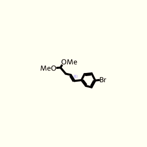 COC(C/C=C/c1ccc(Br)cc1)OC